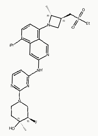 CCS(=O)(=O)C[C@H]1CN(c2ccc(C(C)C)c3cc(Nc4ccnc(N5CC[C@](C)(O)[C@H](F)C5)n4)ncc23)[C@@H]1C